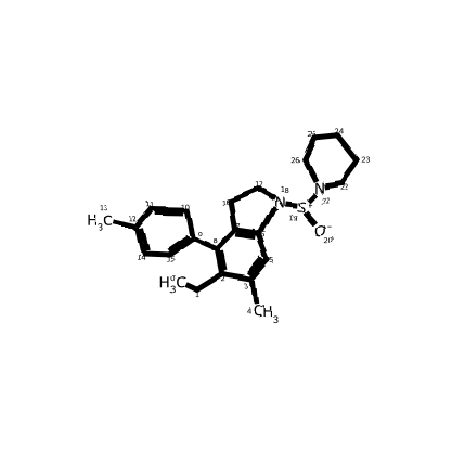 CCc1c(C)cc2c(c1-c1ccc(C)cc1)CCN2[S+]([O-])N1CCCCC1